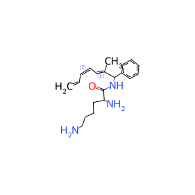 C=C/C=C\C=C(/C)C(NC(=O)C(N)CCCCN)c1ccccc1